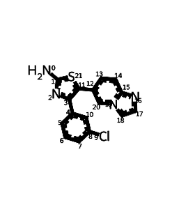 Nc1nc(-c2cccc(Cl)c2)c(-c2ccc3nccn3c2)s1